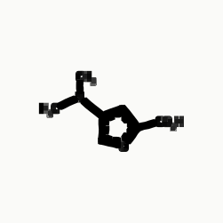 CN(C)c1coc(C(=O)O)c1